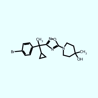 CC1(O)CCN(c2nc(C(C)(c3ccc(Br)cc3)C3CC3)no2)CC1